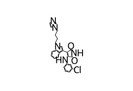 O=C1NC(=O)C(c2cn(CCCCn3ccnc3)c3ccccc23)=C1Nc1cccc(Cl)c1